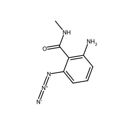 CNC(=O)c1c(N)cccc1N=[N+]=[N-]